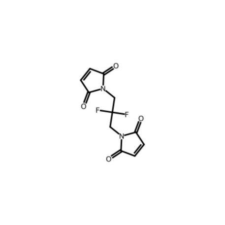 O=C1C=CC(=O)N1CC(F)(F)CN1C(=O)C=CC1=O